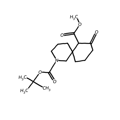 COC(=O)C1C(=O)CCCC12CCCN(C(=O)OC(C)(C)C)C2